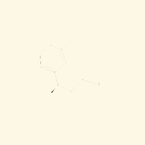 CC[C@@H](c1cccc(O)c1)[C@@H](C)CN